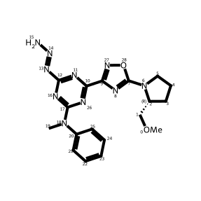 COC[C@H]1CCCN1c1nc(-c2nc(N=NN)nc(N(C)c3ccccc3)n2)no1